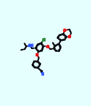 CCC(C)NCc1cc(Cl)c(OCc2cccc(-c3ccc4c(c3)OCCO4)c2C)cc1OCc1cccc(C#N)c1